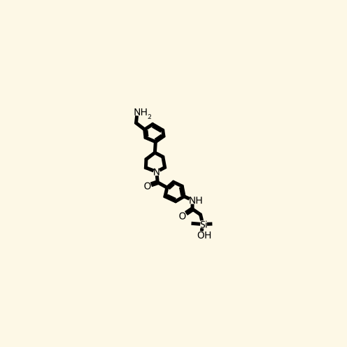 C[Si](C)(O)CC(=O)Nc1ccc(C(=O)N2CCC(c3cccc(CN)c3)CC2)cc1